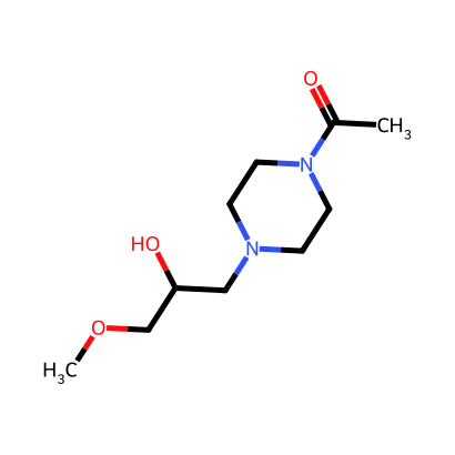 COCC(O)CN1CCN(C(C)=O)CC1